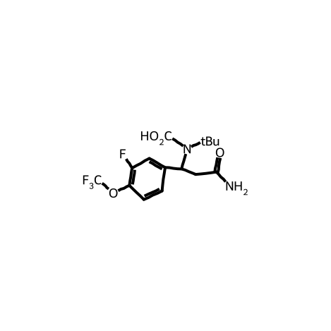 CC(C)(C)N(C(=O)O)C(CC(N)=O)c1ccc(OC(F)(F)F)c(F)c1